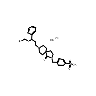 CC(C)CNC(CCN1CCC2(CC1)CCN(Cc1ccc(S(C)(=O)=O)cc1)C2=O)c1ccccn1.Cl.Cl